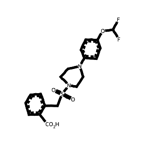 O=C(O)c1ccccc1CS(=O)(=O)N1CCN(c2ccc(OC(F)F)cc2)CC1